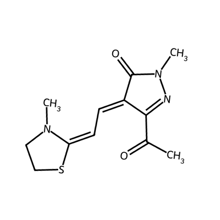 CC(=O)C1=NN(C)C(=O)/C1=C/C=C1/SCCN1C